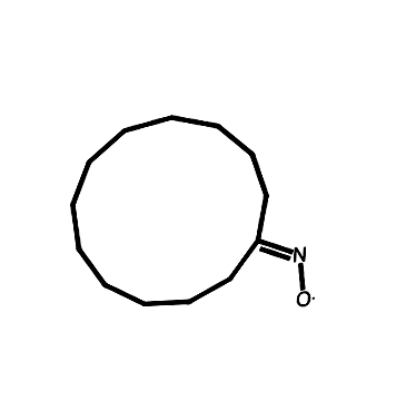 [O]N=C1CCCCCCCCCCCC1